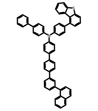 c1ccc(-c2ccc(N(c3ccc(-c4ccc(-c5cccc(-c6cccc7ccccc67)c5)cc4)cc3)c3ccc(-c4cccc5sc6ccccc6c45)cc3)cc2)cc1